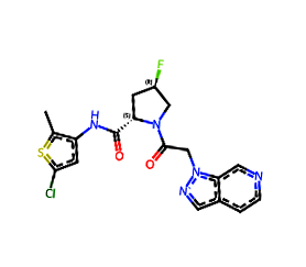 Cc1sc(Cl)cc1NC(=O)[C@@H]1C[C@@H](F)CN1C(=O)Cn1ncc2ccncc21